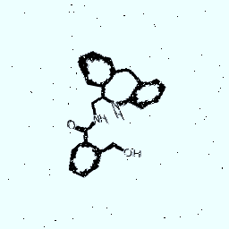 O=C(NCC1Nc2ccccc2Cc2ccccc21)c1ccccc1CO